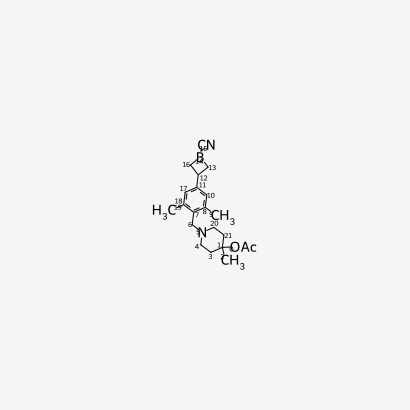 CC(=O)OC1(C)CCN(Cc2c(C)cc(C3CB(C#N)C3)cc2C)CC1